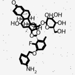 Cc1ccc(OCc2cccc(N)c2)c(F)c1[C@H]1O[C@@H]2C[C@H]3[C@@H]4CCC5=CC(=O)C=C[C@]5(C)[C@H]4[C@@H](O)C[C@]3(C)[C@]2(C(=O)CO[C@@H]2O[C@H](CO)[C@H](O)[C@H](O)[C@H]2O)O1